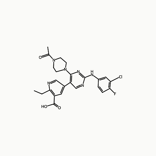 CCc1ncc(-c2cnc(Nc3ccc(F)c(Cl)c3)nc2N2CCN(C(C)=O)CC2)cc1C(=O)O